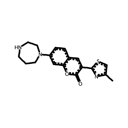 Cc1csc(-c2cc3ccc(N4CCCNCC4)cc3oc2=O)n1